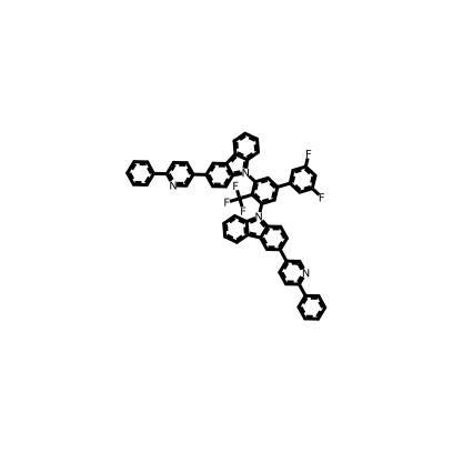 Fc1cc(F)cc(-c2cc(-n3c4ccccc4c4cc(-c5ccc(-c6ccccc6)nc5)ccc43)c(C(F)(F)F)c(-n3c4ccccc4c4cc(-c5ccc(-c6ccccc6)nc5)ccc43)c2)c1